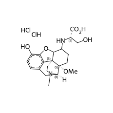 CO[C@@]12CCC(N[C@@H](CO)C(=O)O)C3Oc4c(O)ccc5c4[C@@]31CCN(C)[C@@H]2C5.Cl.Cl